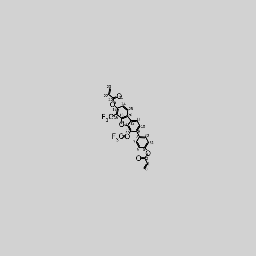 C=CC(=O)Oc1ccc(-c2ccc3c(oc4c(C(F)(F)F)c(OC(=O)C=C)ccc43)c2OC(F)(F)F)cc1